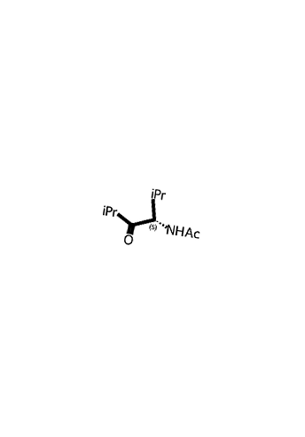 CC(=O)N[C@H](C(=O)C(C)C)C(C)C